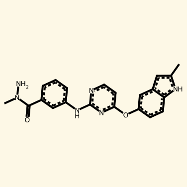 Cc1cc2cc(Oc3ccnc(Nc4cccc(C(=O)N(C)N)c4)n3)ccc2[nH]1